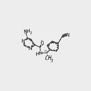 C[C@H](NC(=O)c1cc(N)ncn1)c1ccc(C#N)cc1